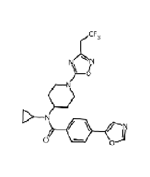 O=C(c1ccc(-c2cnco2)cc1)N(C1CC1)C1CCN(c2nc(CC(F)(F)F)no2)CC1